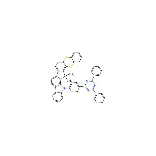 CC1(C)c2c(ccc3c2Sc2ccccc2S3)-c2ccc3c4ccccc4n(-c4ccc(-c5nc(-c6ccccc6)nc(-c6ccccc6)n5)cc4)c3c21